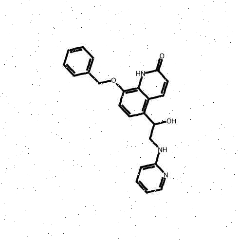 O=c1ccc2c(C(O)CNc3ccccn3)ccc(OCc3ccccc3)c2[nH]1